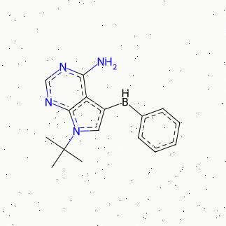 CC(C)(C)n1cc(Bc2ccccc2)c2c(N)ncnc21